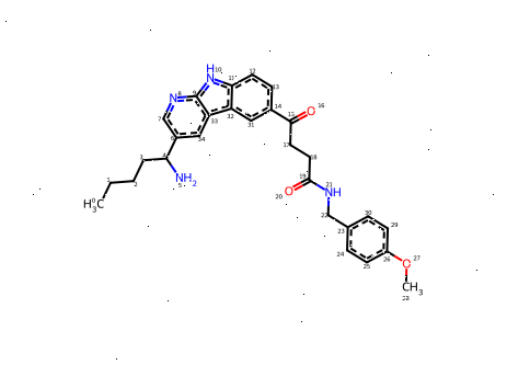 CCCCC(N)c1cnc2[nH]c3ccc(C(=O)CCC(=O)NCc4ccc(OC)cc4)cc3c2c1